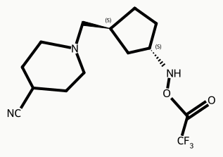 N#CC1CCN(C[C@H]2CC[C@H](NOC(=O)C(F)(F)F)C2)CC1